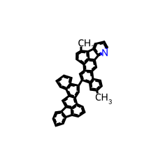 Cc1ccc2c(c1)c(-c1cc3c4cccc5c4c(cc3c3ccccc13)-c1ccccc1-5)cc1c3ccc(C)c4c3c(cc21)-c1ncccc1-4